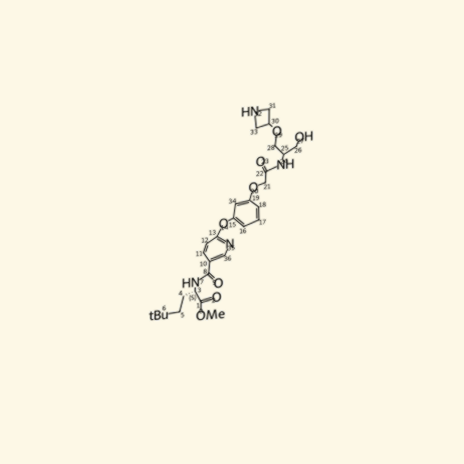 COC(=O)[C@H](CCC(C)(C)C)NC(=O)c1ccc(Oc2cccc(OCC(=O)NC(CO)COC3CNC3)c2)nc1